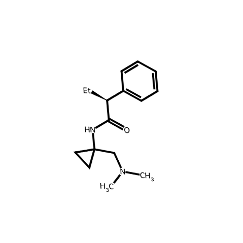 CC[C@H](C(=O)NC1(CN(C)C)CC1)c1ccccc1